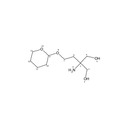 NC(CO)(CO)CCOC1CCCCO1